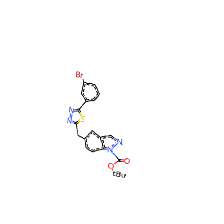 CC(C)(C)OC(=O)n1ncc2cc(Cc3nnc(-c4cccc(Br)c4)s3)ccc21